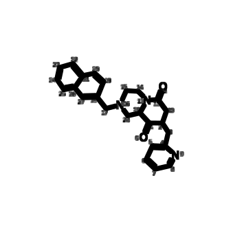 O=C1C(Cc2ccccn2)CC(=O)N2CCN(Cc3ccc4ccccc4c3)CC12